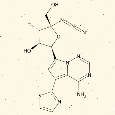 C[C@H]1[C@H](O)[C@H](c2cc(-c3nccs3)c3c(N)ncnn23)O[C@@]1(CO)N=[N+]=[N-]